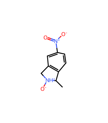 CC1c2ccc([N+](=O)[O-])cc2C[NH+]1[O-]